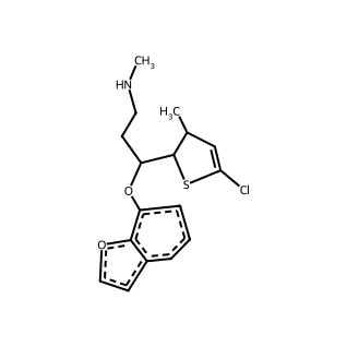 CNCCC(Oc1cccc2ccoc12)C1SC(Cl)=CC1C